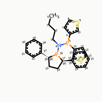 CCCCN(P(c1ccsc1)c1ccsc1)P1[C@@H](c2ccccc2)CC[C@@H]1c1ccccc1